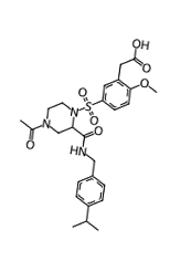 COc1ccc(S(=O)(=O)N2CCN(C(C)=O)CC2C(=O)NCc2ccc(C(C)C)cc2)cc1CC(=O)O